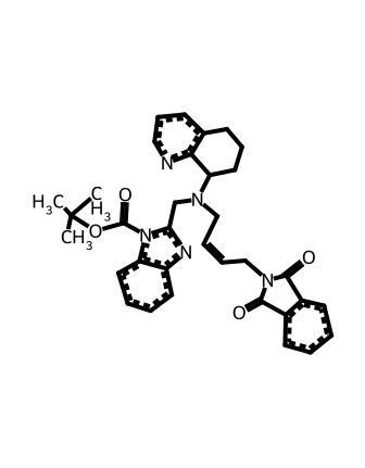 CC(C)(C)OC(=O)n1c(CN(C/C=C\CN2C(=O)c3ccccc3C2=O)C2CCCc3cccnc32)nc2ccccc21